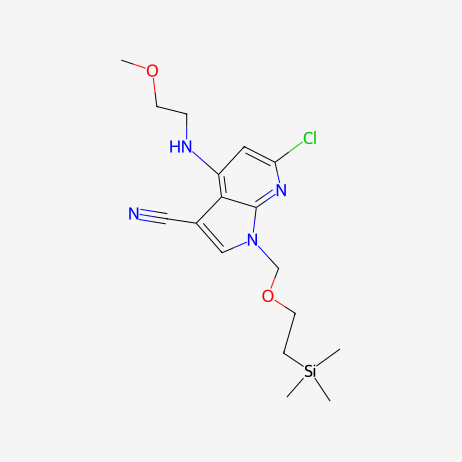 COCCNc1cc(Cl)nc2c1c(C#N)cn2COCC[Si](C)(C)C